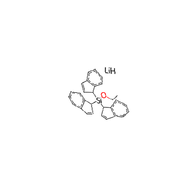 CCO[Si](C1C=Cc2ccccc21)(C1C=Cc2ccccc21)C1C=Cc2ccccc21.[LiH]